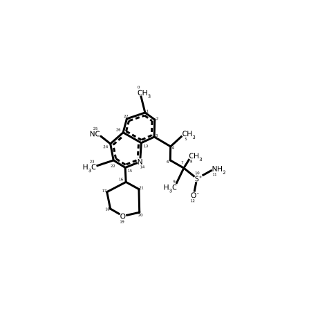 Cc1cc(C(C)CC(C)(C)[S+](N)[O-])c2nc(C3CCOCC3)c(C)c(C#N)c2c1